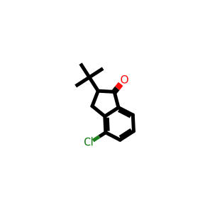 CC(C)(C)C1Cc2c(Cl)cccc2C1=O